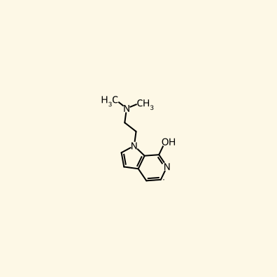 CN(C)CCn1ccc2c[c]nc(O)c21